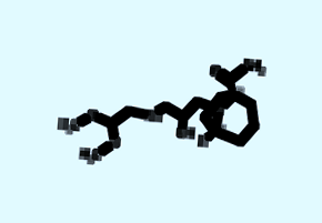 COC(CNCC(O)CN1[C@@H]2C[CH]C[C@@]1(C(N)=O)CC2)OC